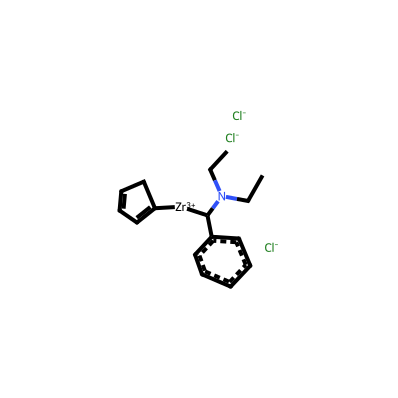 CCN(CC)[CH]([Zr+3][C]1=CC=CC1)c1ccccc1.[Cl-].[Cl-].[Cl-]